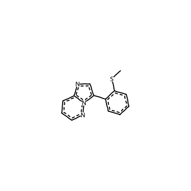 CSc1ccccc1-c1cnc2cccnn12